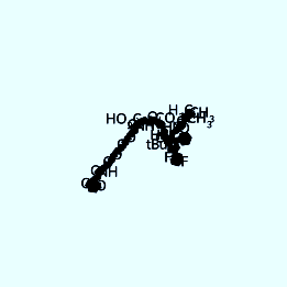 CC(C)(C)[C@H](c1cc(-c2cc(F)ccc2F)cn1Cc1ccccc1)N(CCCNC(=O)OCC[Si](C)(C)C)C(=O)CSC[C@H](NC(=O)CC[C@H](NC(=O)CCOCCOCCOCCOCCNC(=O)CCN1C(=O)C=CC1=O)C(=O)O)C(=O)O